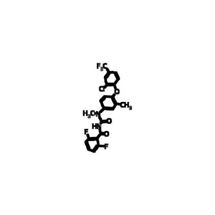 Cc1cc(N(C)C(=O)NC(=O)c2c(F)cccc2F)ccc1Oc1ccc(C(F)(F)F)cc1Cl